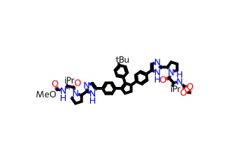 COC(=O)N[C@H](C(=O)N1CCCC1c1ncc(-c2ccc(C3=C(c4ccc(C(C)(C)C)cc4)C(c4ccc(-c5cnc(C6CCCN6C(=O)C(NC6OCO6)C(C)C)[nH]5)cc4)CC3)cc2)[nH]1)C(C)C